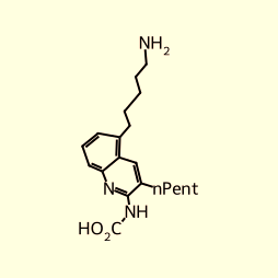 CCCCCc1cc2c(CCCCCN)cccc2nc1NC(=O)O